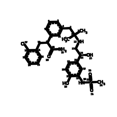 CC(C)(Cc1cccc(C(Cc2ccccc2Cl)C(N)=O)c1)NC[C@@H](O)c1ccc(O)c(NS(C)(=O)=O)c1